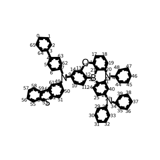 c1ccc(-c2ccc(N(c3ccc4c(c3)Oc3cccc5c3B4c3ccc(N(c4ccccc4)c4ccccc4)cc3N5c3ccccc3)c3ccc4sc5ccccc5c4c3)cc2)cc1